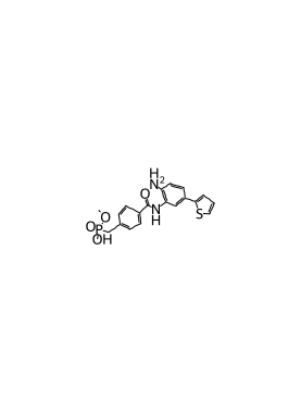 COP(=O)(O)Cc1ccc(C(=O)Nc2cc(-c3cccs3)ccc2N)cc1